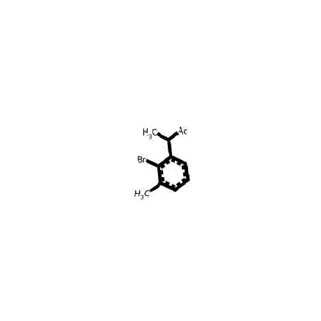 CC(=O)C(C)c1cccc(C)c1Br